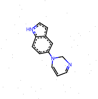 C1=CN(c2ccc3[nH]ccc3c2)CN=C1